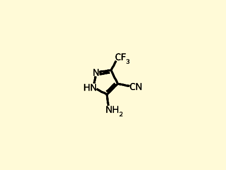 N#Cc1c(C(F)(F)F)n[nH]c1N